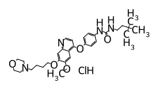 COc1cc2c(Oc3ccc(NC(=O)NCCC(C)(C)C)cc3)ccnc2cc1OCCCCN1CCOCC1.Cl